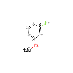 CC(C)(C)Oc1c[c]cc(F)c1